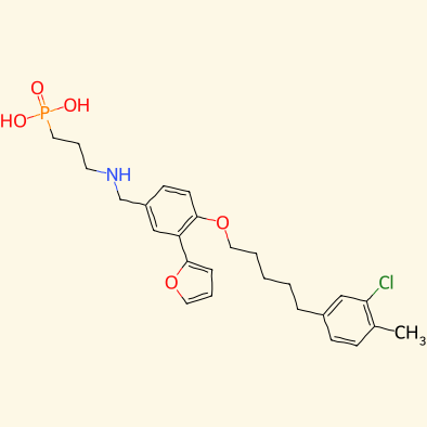 Cc1ccc(CCCCCOc2ccc(CNCCCP(=O)(O)O)cc2-c2ccco2)cc1Cl